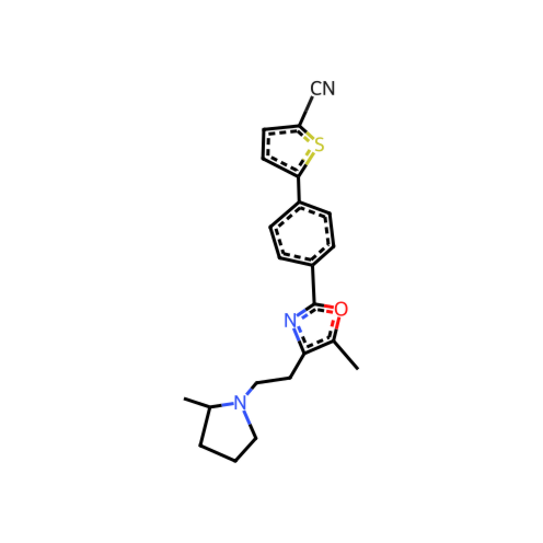 Cc1oc(-c2ccc(-c3ccc(C#N)s3)cc2)nc1CCN1CCCC1C